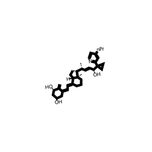 C=C1/C(=C\C=C2/CCC[C@]3(C)[C@@H]([C@H](C)/C=C/[C@@H](O)C4(c5cc(CCC)ccn5)CC4)CC[C@@H]23)C[C@@H](O)C[C@@H]1O